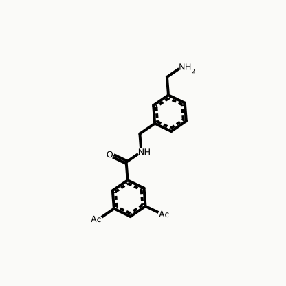 CC(=O)c1cc(C(C)=O)cc(C(=O)NCc2cccc(CN)c2)c1